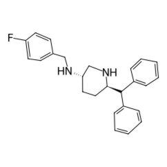 Fc1ccc(CN[C@H]2CC[C@H](C(c3ccccc3)c3ccccc3)NC2)cc1